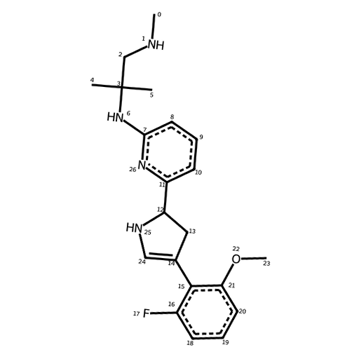 CNCC(C)(C)Nc1cccc(C2CC(c3c(F)cccc3OC)=CN2)n1